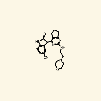 N#Cc1ccc2c(c1)C(c1nc(NCCN3CCOCC3)nc3c1CCC3)C(=O)N2